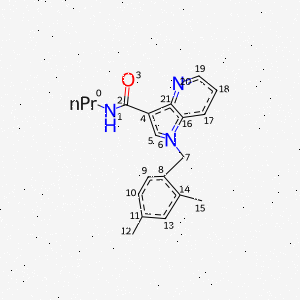 CCCNC(=O)c1cn(Cc2ccc(C)cc2C)c2cccnc12